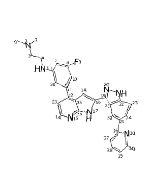 CN(C)CCNc1cc(F)cc(-c2ccnc3[nH]c(-c4n[nH]c5ccc(-c6ccccn6)cc45)cc23)c1